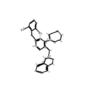 CCc1cccc(CC)c1Cc1ncc(CN2CCc3ccccc3C2)c(N2CCCCC2)n1